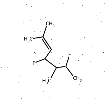 CC(C)=CC(F)C(C)C(C)F